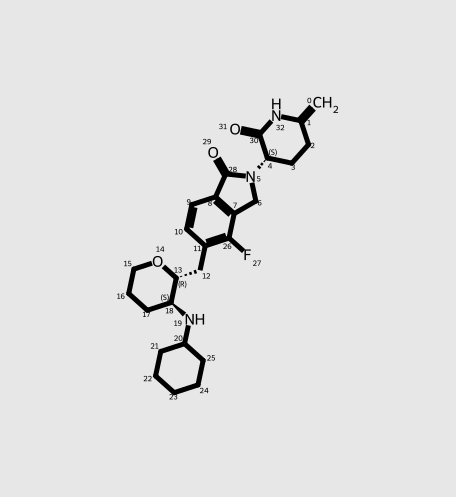 C=C1CC[C@H](N2Cc3c(ccc(C[C@H]4OCCC[C@@H]4NC4CCCCC4)c3F)C2=O)C(=O)N1